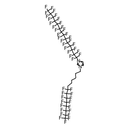 FC(F)(F)C(F)(F)C(F)(F)C(F)(F)C(F)(F)C(F)(F)C(F)(F)C(F)(F)CCCCCC[n+]1ccn(C(F)(F)C(F)(F)C(F)(F)C(F)(F)C(F)(F)C(F)(F)C(F)(F)C(F)(F)C(F)(F)C(F)(F)C(F)(F)C(F)(F)C(F)(F)C(F)(F)F)c1